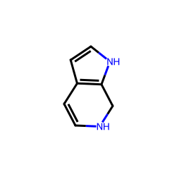 C1=Cc2cc[nH]c2CN1